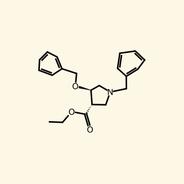 CCOC(=O)[C@H]1CN(Cc2ccccc2)C[C@@H]1OCc1ccccc1